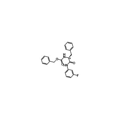 O=C(N[C@@H](Cc1ccccc1)C(=O)Nc1cccc(F)c1)OCc1ccccc1